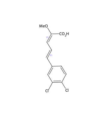 CO/C(=C/C=C/c1ccc(Cl)c(Cl)c1)C(=O)O